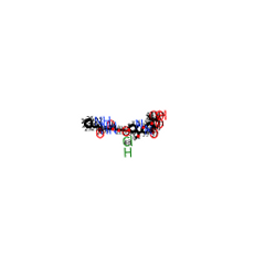 CCc1c2c(nc3ccc(OCCCNC(=O)CNC(=O)[C@@H](N)Cc4ccccc4)cc13)-c1cc3c(c(=O)n1C2)COC(=O)[C@]3(O)CC.Cl